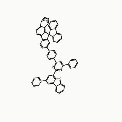 c1ccc(-c2cc(-c3nc(-c4ccccc4)cc(-c4ccc(-c5ccc6c(c5)C5(c7ccccc7-c7ccccc75)c5c-6ccc6c7ccc(o7)c56)cc4)n3)c3sc4ccccc4c3c2)cc1